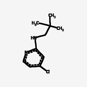 CC(C)(C)CNc1cc(Cl)ccn1